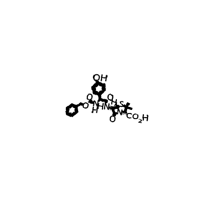 CC1(C)S[C@@H]2[C@H](NC(=O)C(NC(=O)OCc3ccccc3)c3ccc(O)cc3)C(=O)N2[C@H]1C(=O)O